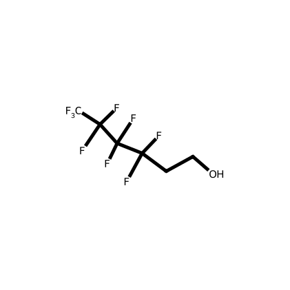 OCCC(F)(F)C(F)(F)C(F)(F)C(F)(F)F